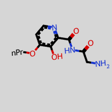 CCCOc1ccnc(C(=O)NC(=O)CN)c1O